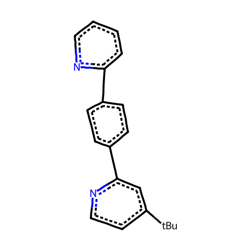 CC(C)(C)c1ccnc(-c2ccc(-c3ccccn3)cc2)c1